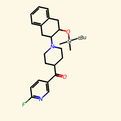 CC(C)(C)[Si](C)(C)OC1Cc2ccccc2CC1N1CCC(C(=O)c2ccc(F)nc2)CC1